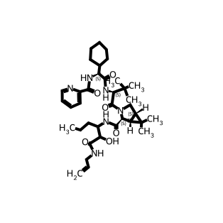 C=CCNC(=O)C(O)C(CCC)NC(=O)[C@@H]1[C@@H]2[C@H](CN1C(=O)[C@@H](NC(=O)[C@@H](NC(=O)c1ccccn1)C1CCCCC1)C(C)(C)C)C2(C)C